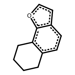 c1cc2ccc3c(c2o1)CCCC3